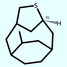 CC1CC2CCC1CC1CS[C@@H](C2)C1